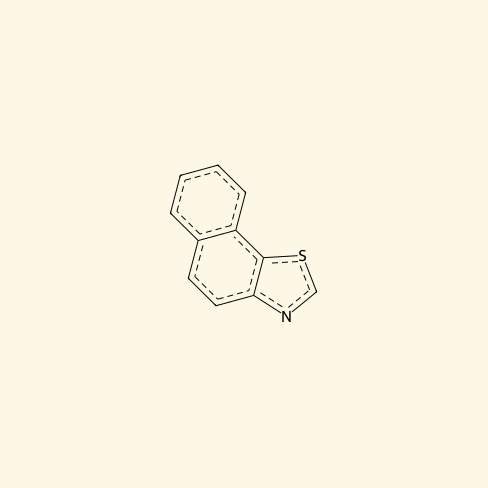 c1ccc2c(c1)ccc1ncsc12